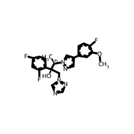 COc1cc(-c2cnn([C@H](C)[C@](O)(Cn3cncn3)c3ccc(F)cc3F)c2)ccc1F